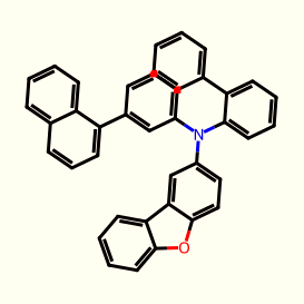 c1ccc(-c2ccccc2N(c2cccc(-c3cccc4ccccc34)c2)c2ccc3oc4ccccc4c3c2)cc1